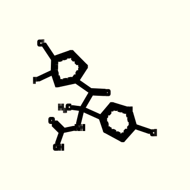 CC(NC(=O)O)(C(=O)c1ccc(Cl)c(F)c1)c1ccc(Cl)nc1